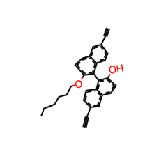 C#Cc1ccc2c(-c3c(OCCCCCC)ccc4cc(C#C)ccc34)c(O)ccc2c1